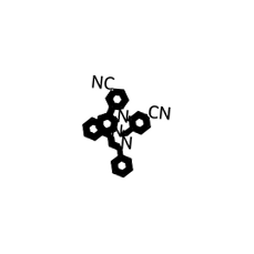 N#Cc1ccc(-c2nc(-c3ccccc3)cc(-c3ccccc3)n2)c(-n2c3ccccc3c3cc(C#N)ccc32)c1